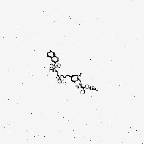 CN(CCCc1ccc(CNC(=O)OC(C)(C)C)c(F)c1)CCNS(=O)(=O)c1ccc2ccccc2c1